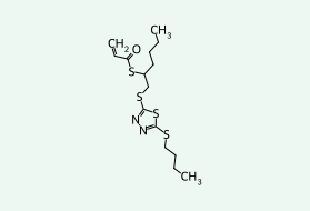 C=CC(=O)SC(CCCC)CSc1nnc(SCCCC)s1